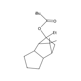 CCC(C)C(=O)OC1(CC)CC2C3CCCC3C1C2(C)C